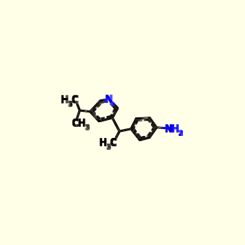 CC(C)c1cncc(C(C)c2ccc(N)cc2)c1